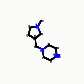 CN1CC[C@H](CN2CCNCC2)C1